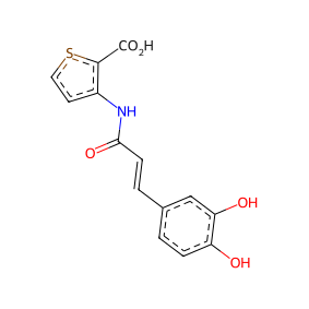 O=C(C=Cc1ccc(O)c(O)c1)Nc1ccsc1C(=O)O